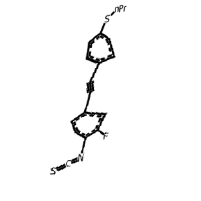 CCCSc1ccc(C#Cc2ccc(N=C=S)c(F)c2)cc1